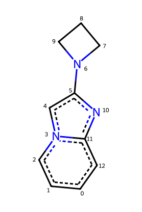 c1ccn2cc(N3CCC3)nc2c1